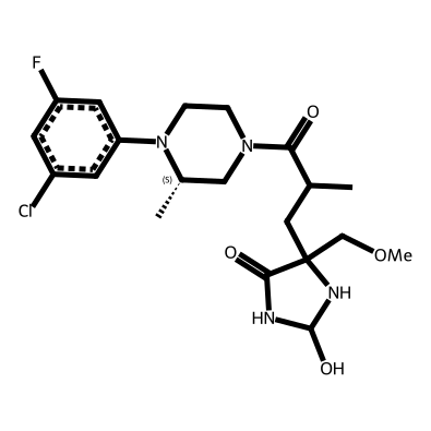 COCC1(CC(C)C(=O)N2CCN(c3cc(F)cc(Cl)c3)[C@@H](C)C2)NC(O)NC1=O